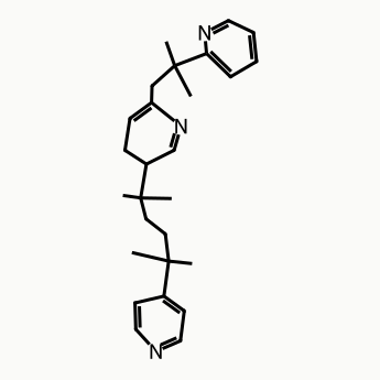 CC(C)(CCC(C)(C)C1C=NC(CC(C)(C)c2ccccn2)=CC1)c1ccncc1